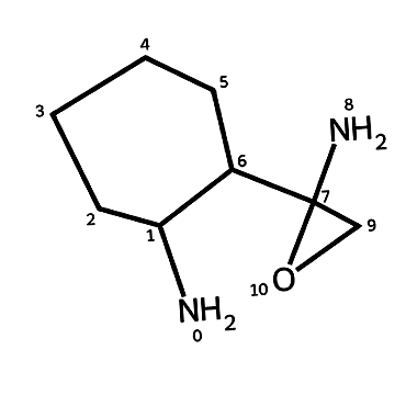 NC1CCCCC1C1(N)CO1